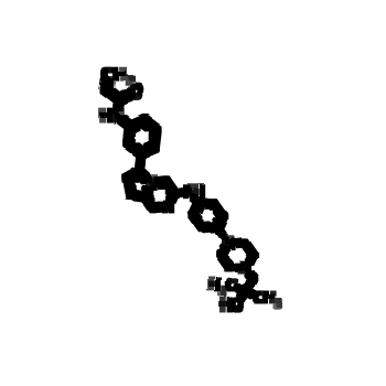 C=CC(=O)Nc1cccc(-c2ccc3cnc(Nc4ccc(N5CCN(CC(C)(C)O)CC5)cc4)cn23)c1